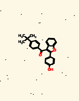 CC(C)(C)c1ccc(C(=O)c2c(-c3ccc(O)cc3)oc3ccccc23)cc1